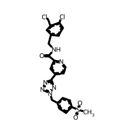 CS(=O)(=O)c1ccc(Cn2nnc(-c3ccnc(C(=O)NCc4ccc(Cl)c(Cl)c4)c3)n2)cc1